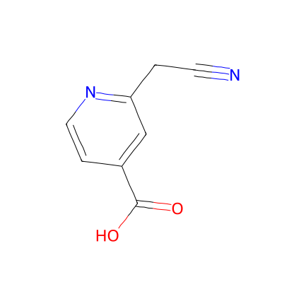 N#CCc1cc(C(=O)O)ccn1